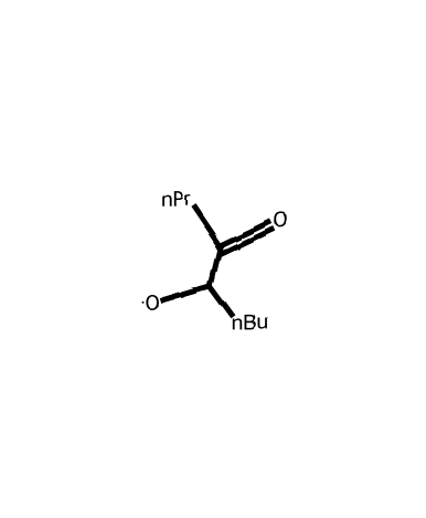 CCCCC([O])C(=O)CCC